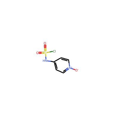 O=S(=O)(Cl)Nc1cc[n+]([O-])cc1